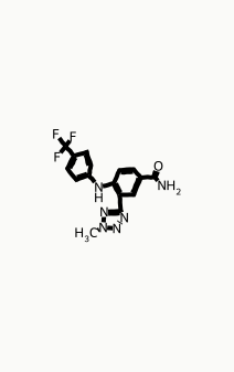 Cn1nnc(-c2cc(C(N)=O)ccc2Nc2ccc(C(F)(F)F)cc2)n1